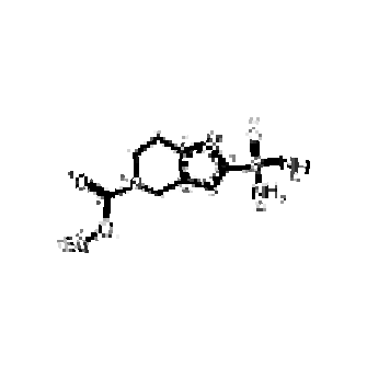 CC(C)(C)OC(=O)N1CCc2sc(S(=N)(N)=O)cc2C1